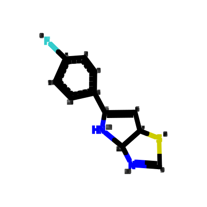 Fc1ccc(C2=CC3SC=NC3N2)cc1